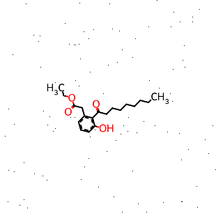 CCCCCCCCC(=O)c1c(O)cccc1CC(=O)OCC